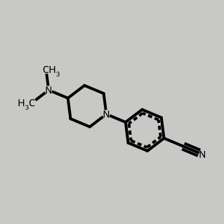 CN(C)C1CCN(c2ccc(C#N)cc2)CC1